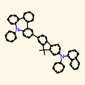 CC1(C)c2cc(-c3ccc4c(c3)-c3ccccc3-c3ccccc3N4c3ccccc3)ccc2-c2ccc(N(c3ccccc3)c3cccc4ccccc34)cc21